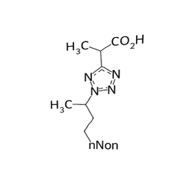 CCCCCCCCCCCC(C)n1nnc(C(C)C(=O)O)n1